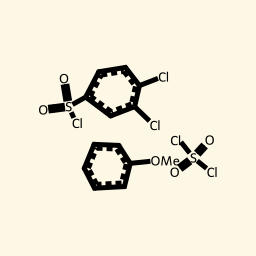 COc1ccccc1.O=S(=O)(Cl)Cl.O=S(=O)(Cl)c1ccc(Cl)c(Cl)c1